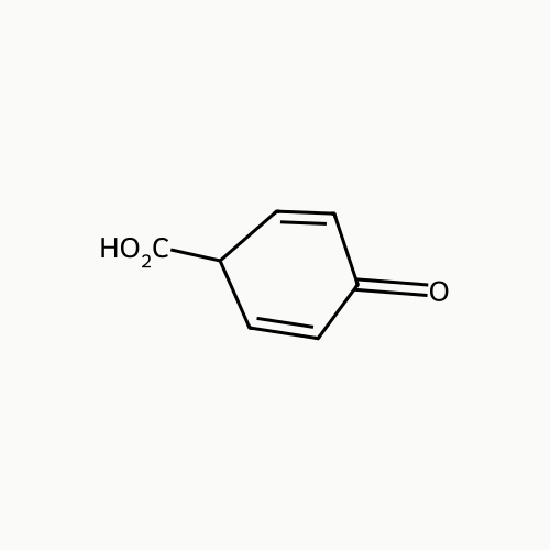 O=C1C=CC(C(=O)O)C=C1